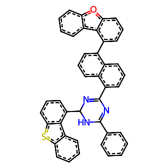 c1ccc(C2=NC(c3cccc4c(-c5cccc6oc7ccccc7c56)cccc34)=NC(c3cccc4sc5ccccc5c34)N2)cc1